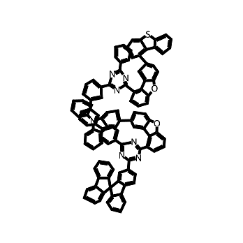 c1ccc(-c2nc(-c3cccc(-c4cccc(-c5ccc(-c6nc(-c7ccc8c(c7)C7(c9ccccc9-c9ccccc97)c7ccccc7-8)nc(-c7cccc8oc9ccc(-c%10ccc%11c(c%10)c%10ccccc%10n%11-c%10ccccc%10)cc9c78)n6)cc5)c4)c3)nc(-c3cccc4oc5ccc(-c6cccc7sc8ccccc8c67)cc5c34)n2)cc1